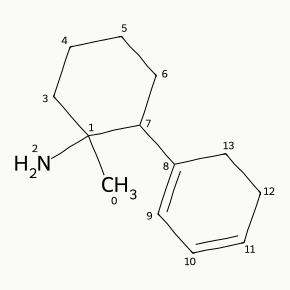 CC1(N)CCCCC1C1=CC=CCC1